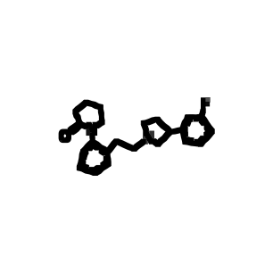 O=C1CCCCN1c1ccccc1CCN1CCC(c2cccc(F)c2)C1